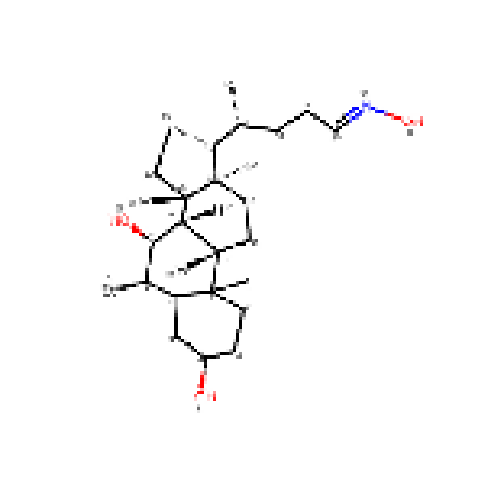 CC[C@@H]1C2C[C@H](O)CCC2(C)[C@H]2CC[C@]3(C)[C@@H]([C@H](C)CC/C=N/O)CC[C@H]3[C@H]2[C@@H]1O